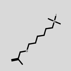 C=C(C)COCCCCCC[Si](C)(C)I